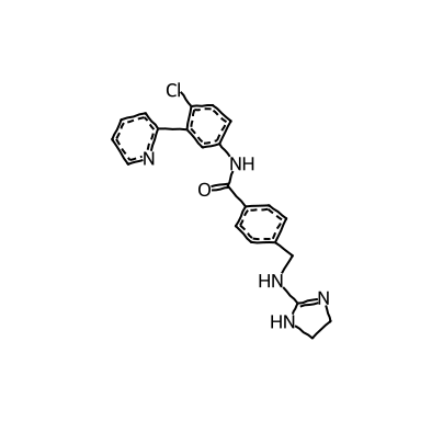 O=C(Nc1ccc(Cl)c(-c2ccccn2)c1)c1ccc(CNC2=NCCN2)cc1